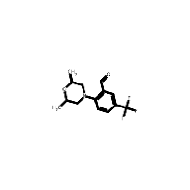 CC1CN(c2ccc(C(F)(F)F)cc2C=O)CC(C)O1